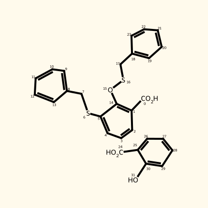 O=C(O)c1cccc(SCc2ccccc2)c1OSCc1ccccc1.O=C(O)c1ccccc1O